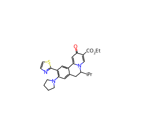 CCOC(=O)c1cn2c(cc1=O)-c1cc(-c3nccs3)c(N3CCCC3)cc1CC2C(C)C